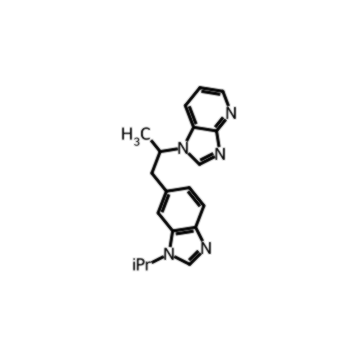 CC(C)n1cnc2ccc(CC(C)n3cnc4ncccc43)cc21